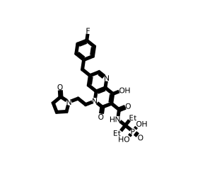 CCC(CC)(NC(=O)c1c(O)c2ncc(Cc3ccc(F)cc3)cc2n(CCN2CCCC2=O)c1=O)P(=O)(O)O